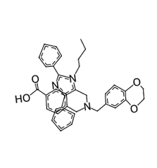 CCCCn1c(-c2ccccc2)nc(-c2ccccc2)c1CN(Cc1ccc(C(=O)O)cc1)Cc1ccc2c(c1)OCCO2